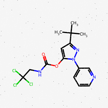 CC(C)(C)c1cc(OC(=O)NCC(Cl)(Cl)Cl)n(-c2cccnc2)n1